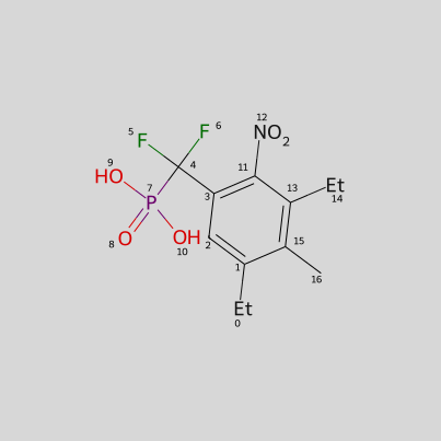 CCc1cc(C(F)(F)P(=O)(O)O)c([N+](=O)[O-])c(CC)c1C